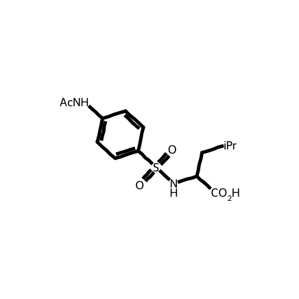 CC(=O)Nc1ccc(S(=O)(=O)NC(CC(C)C)C(=O)O)cc1